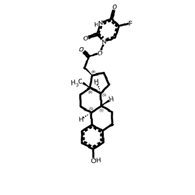 C[C@]12CC[C@@H]3c4ccc(O)cc4CC[C@H]3[C@@H]1CC[C@@H]2CC(=O)On1cc(F)c(=O)[nH]c1=O